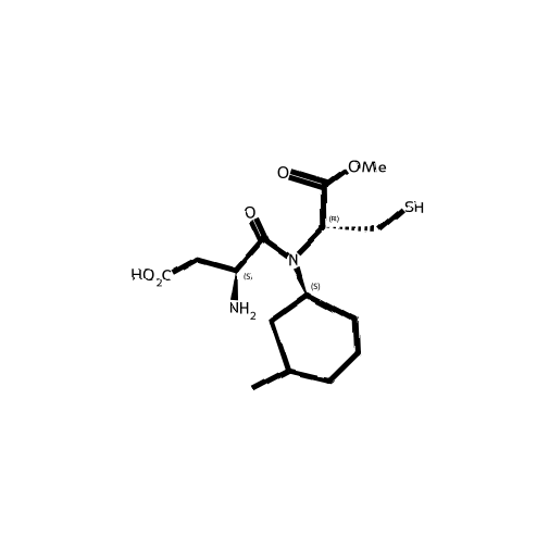 COC(=O)[C@H](CS)N(C(=O)[C@@H](N)CC(=O)O)[C@H]1CCCC(C)C1